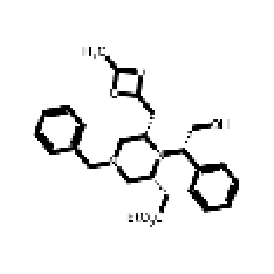 CCOC(=O)C[C@@H]1CN(Cc2ccccc2)C[C@H](CC2OC(C)O2)N1[C@H](CO)c1ccccc1